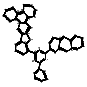 c1ccc(-c2nc(-c3ccc4cc5ccccc5cc4c3)nc(-c3cccc4c3oc3cc5c6ccccc6c6ccccc6c5cc34)n2)cc1